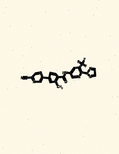 Cc1cc(-c2ccc(C#N)nc2)ccc1C(=O)Nc1cnc(-n2nccn2)c(C(F)(F)F)c1